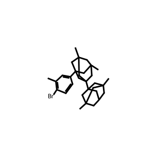 Cc1cc(C23CC4(C)CC(C)(C2)CC(C25CC6CC(C)(CC(C)(C6)C2)C5)(C4)C3)ccc1Br